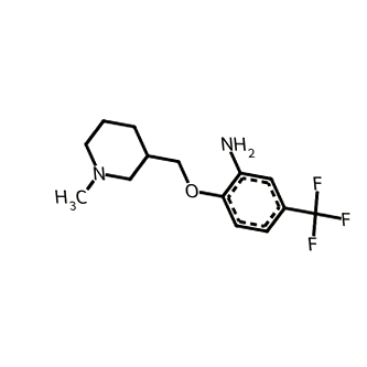 CN1CCCC(COc2ccc(C(F)(F)F)cc2N)C1